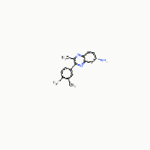 Cc1ccc(-c2nc3cc(N)ccc3nc2C)cc1C